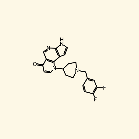 O=c1ccn(C2CCN(Cc3ccc(F)c(F)c3)CC2)c2c1cnc1[nH]ccc12